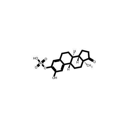 C[C@]12CC[C@@H]3c4cc(O)c([O][Mo](=[O])(=[O])[OH])cc4CC[C@H]3[C@@H]1CCC2=O